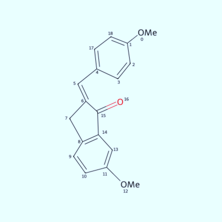 COc1ccc(C=C2Cc3ccc(OC)cc3C2=O)cc1